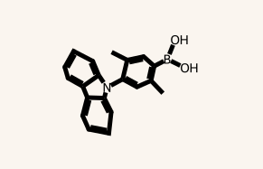 Cc1cc(-n2c3ccccc3c3ccccc32)c(C)cc1B(O)O